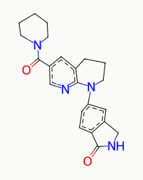 O=C1NCc2cc(N3CCCc4cc(C(=O)N5CCCCC5)cnc43)ccc21